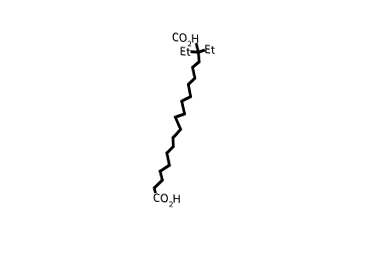 CCC(CC)(CCCCCCCCCCCCCCCCC(=O)O)C(=O)O